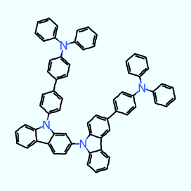 c1ccc(N(c2ccccc2)c2ccc(-c3ccc(-n4c5ccccc5c5ccc(-n6c7ccccc7c7cc(-c8ccc(N(c9ccccc9)c9ccccc9)cc8)ccc76)cc54)cc3)cc2)cc1